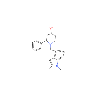 Cc1cc2c(CN3CCC(O)CC3c3ccccc3)cccc2n1C